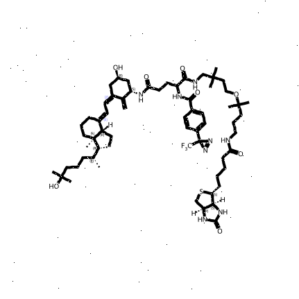 C=C1/C(=C\C=C2/CCC[C@]3(C)[C@@H]([C@H](C)CCCC(C)(C)O)CC[C@@H]23)C[C@@H](O)C[C@@H]1NC(=O)CCC(NC(=O)c1ccc(C2(C(F)(F)F)N=N2)cc1)C(=O)NCC(C)(C)CCOC(C)(C)CCCNC(=O)CCCC[C@@H]1SC[C@@H]2NC(=O)N[C@@H]21